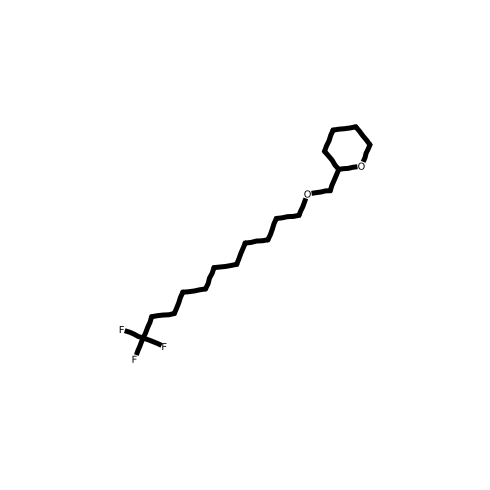 FC(F)(F)CCCCCCCCCCOCC1CCCCO1